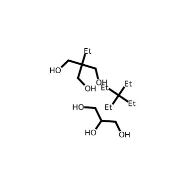 CCC(CC)(CC)CC.CCC(CO)(CO)CO.OCC(O)CO